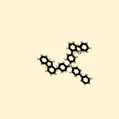 c1ccc(-c2ccc(N(c3ccc(-c4cccc5c4Cc4ccccc4-5)cc3)c3ccc(-c4cccc5c4oc4ccccc45)cc3)cc2)cc1